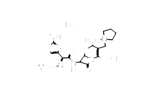 CON=C(C(=O)NC1C(=O)N2C(C(=O)O)=C(C[N+]3(C)CCCC3)CSC12)c1csc(N)n1.[OH-]